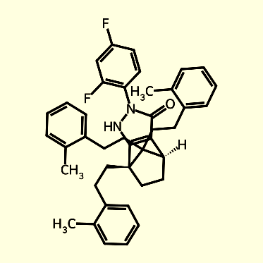 Cc1ccccc1CCC1(CCc2ccccc2C)[C@@H]2CC[C@]1(CCc1ccccc1C)c1[nH]n(-c3ccc(F)cc3F)c(=O)c12